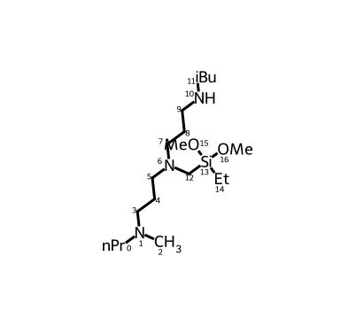 CCCN(C)CCCN(CCCNC(C)CC)C[Si](CC)(OC)OC